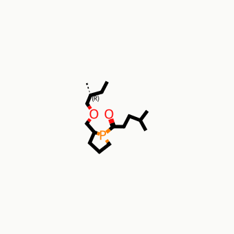 CC[C@@H](C)COCC1CCCP1C(=O)CCC(C)C